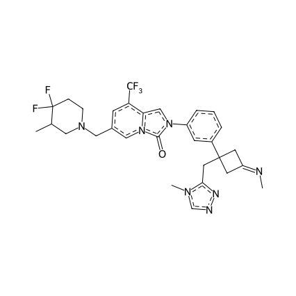 CN=C1CC(Cc2nncn2C)(c2cccc(-n3cc4c(C(F)(F)F)cc(CN5CCC(F)(F)C(C)C5)cn4c3=O)c2)C1